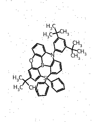 CC(C)(C)c1cc(N2c3cccc4c3B3c5c(cc(C(C)(C)C)cc5[Si](c5ccccc5)(c5ccccc5)c5cccc2c53)O4)cc(C(C)(C)C)c1